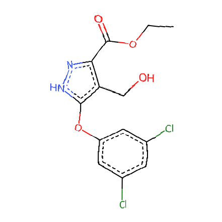 CCOC(=O)c1n[nH]c(Oc2cc(Cl)cc(Cl)c2)c1CO